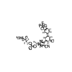 CC(OC(=O)OCC(C)(C)C(=O)OC(C)(C)C)n1nc(C#N)c(-c2cc(Cl)cc(-c3ccc4c(c3)OC(F)(F)O4)c2)n1